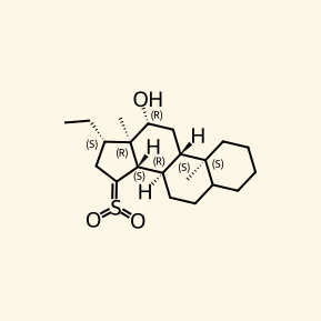 CC[C@H]1CC(=S(=O)=O)[C@H]2[C@@H]3CCC4CCCC[C@]4(C)[C@H]3C[C@@H](O)[C@]12C